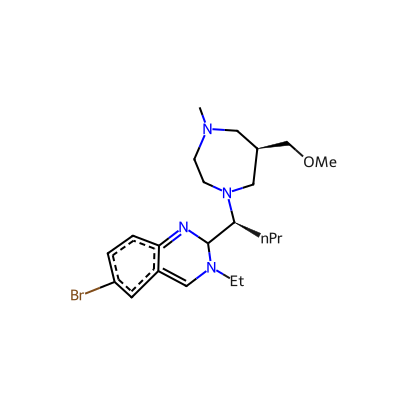 CCC[C@@H](C1N=c2ccc(Br)cc2=CN1CC)N1CCN(C)C[C@@H](COC)C1